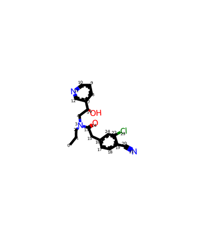 CCCN(CC(O)c1cccnc1)C(=O)Cc1ccc(C#N)c(Cl)c1